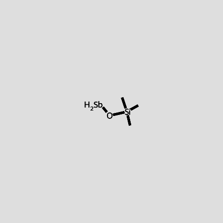 C[Si](C)(C)[O][SbH2]